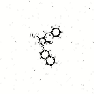 Cc1[nH]n(-c2ccc3ccccc3c2)c(=O)c1Cc1ccccc1